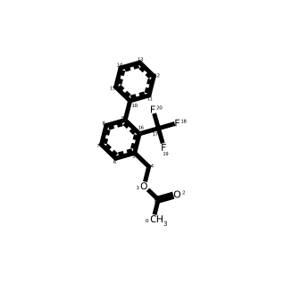 CC(=O)OCc1cccc(-c2ccccc2)c1C(F)(F)F